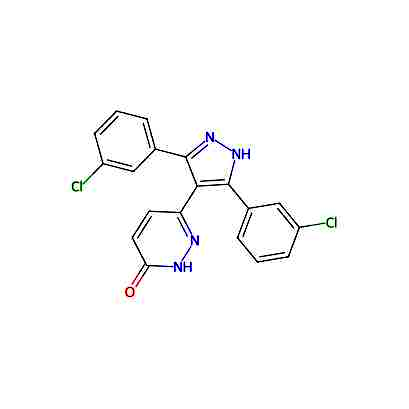 O=c1ccc(-c2c(-c3cccc(Cl)c3)n[nH]c2-c2cccc(Cl)c2)n[nH]1